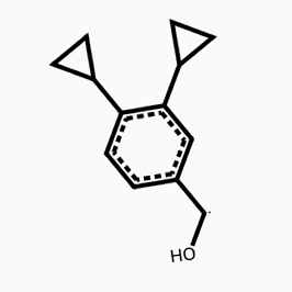 O[CH]c1ccc(C2CC2)c(C2CC2)c1